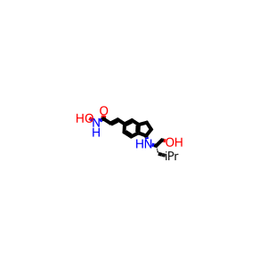 CC(C)C[C@@H](CO)NC1CCc2cc(/C=C/C(=O)NO)ccc21